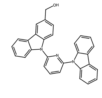 OCc1ccc2c(c1)c1ccccc1n2-c1cccc(-n2c3ccccc3c3ccccc32)n1